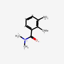 COc1c(C(=O)N(C)C)cccc1[N+](=O)[O-]